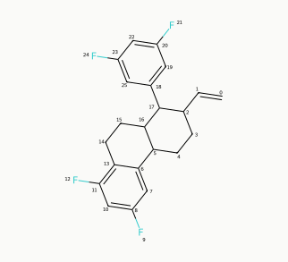 C=CC1CCC2c3cc(F)cc(F)c3CCC2C1c1cc(F)cc(F)c1